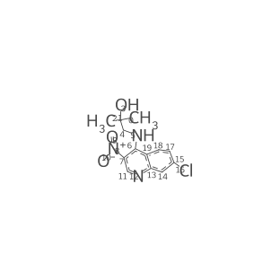 CC(C)(O)CNc1c([N+](=O)[O-])cnc2cc(Cl)ccc12